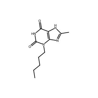 CCCCCn1c(=O)[nH]c(=O)c2[nH]c(C)nc21